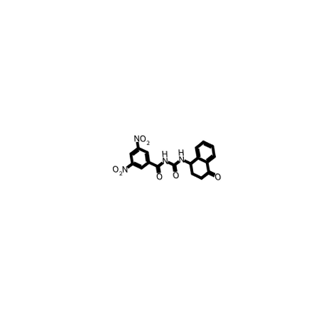 O=C(NC(=O)c1cc([N+](=O)[O-])cc([N+](=O)[O-])c1)NC1CCC(=O)c2ccccc21